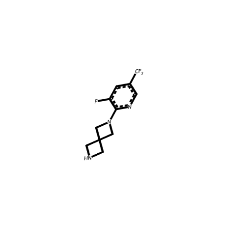 Fc1cc(C(F)(F)F)cnc1N1CC2(CNC2)C1